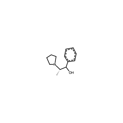 C[C@@H](C(O)c1ccccc1)N1CCCC1